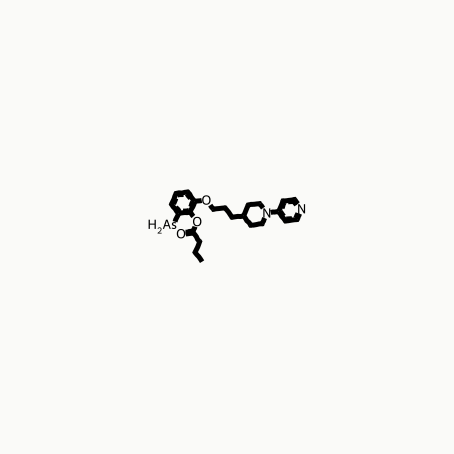 CCCC(=O)Oc1c([AsH2])cccc1OCCCC1CCN(c2ccncc2)CC1